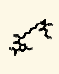 CCOC(=O)[C@@]1(C)C[C@H]1CCCCCCN(C)C(=O)N1C[C@@H](O)C[C@H]1C(C)=O